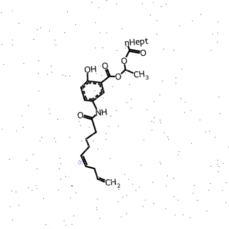 C=CC/C=C\CCCC(=O)Nc1ccc(O)c(C(=O)OC(C)OC(=O)CCCCCCC)c1